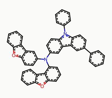 c1ccc(-c2ccc3c(c2)c2cc(N(c4ccc5oc6ccccc6c5c4)c4cccc5oc6ccccc6c45)ccc2n3-c2ccccc2)cc1